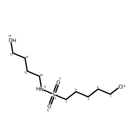 O=S(=O)(CCCCCCl)NCCCCO